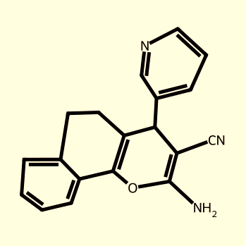 N#CC1=C(N)OC2=C(CCc3ccccc32)C1c1cccnc1